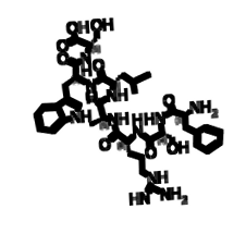 CC(C)C[C@H](NC(=O)[C@H](C)NC(=O)[C@@H](CCCNC(=N)N)NC(=O)[C@@H](CO)NC(=O)[C@@H](N)Cc1ccccc1)C(=O)N[C@@H](Cc1c[nH]c2ccccc12)C(=O)N[C@@H](CO)C(=O)O